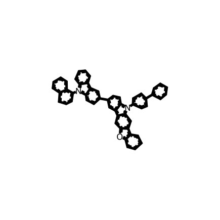 c1ccc(-c2ccc(-n3c4ccc(-c5ccc6c(c5)c5ccccc5n6-c5cccc6ccccc56)cc4c4cc5oc6ccccc6c5cc43)cc2)cc1